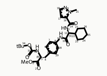 COC(=O)[C@@H](Cc1ccc(NC(=O)[C@@H](NC(=O)c2ccnn2C)C2CCCCC2)cc1)NC(=O)OC(C)(C)C